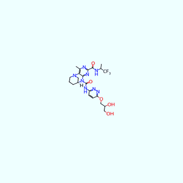 Cc1nc(C(=O)NC(C)C(F)(F)F)nc2c1N1CCC[C@@H](C1)N2C(=O)Nc1ccc(OCC(O)CO)nn1